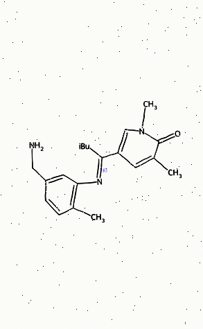 CCC(C)/C(=N\c1cc(CN)ccc1C)c1cc(C)c(=O)n(C)c1